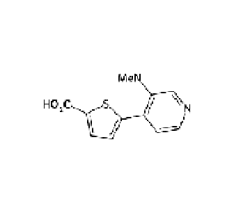 CNc1cnccc1-c1ccc(C(=O)O)s1